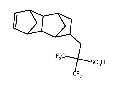 O=S(=O)(O)C(CC1CC2CC1C1C3C=CC(C3)C21)(C(F)(F)F)C(F)(F)F